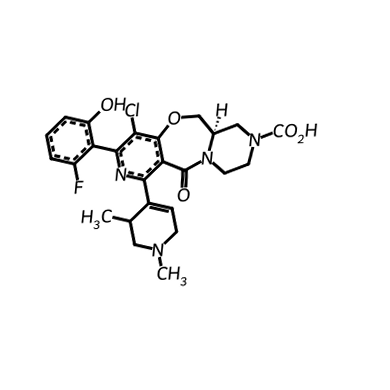 CC1CN(C)CC=C1c1nc(-c2c(O)cccc2F)c(Cl)c2c1C(=O)N1CCN(C(=O)O)C[C@@H]1CO2